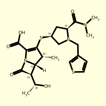 C[C@@H](O)[C@H]1C(=O)N2C(C(=O)O)=C(S[C@H]3C[C@@H](C(=O)N(C)C)N(Cc4ccsc4)C3)[C@H](C)[C@H]12